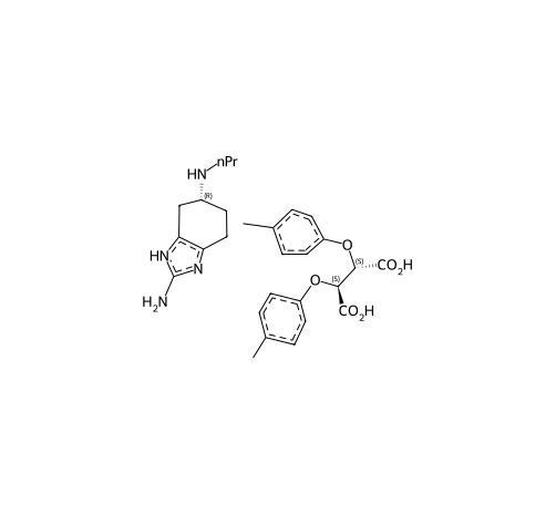 CCCN[C@@H]1CCc2nc(N)[nH]c2C1.Cc1ccc(O[C@H](C(=O)O)[C@H](Oc2ccc(C)cc2)C(=O)O)cc1